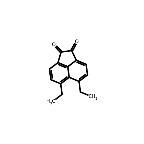 CCc1ccc2c3c(ccc(CC)c13)C(=O)C2=O